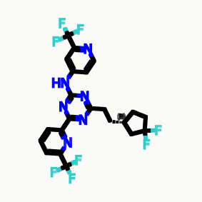 FC1(F)CC[C@@H](CCc2nc(Nc3ccnc(C(F)(F)F)c3)nc(-c3cccc(C(F)(F)F)n3)n2)C1